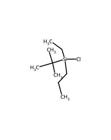 CCC[Si](Cl)(CC)C(C)(C)C